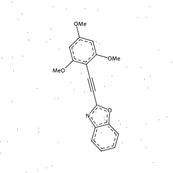 COc1cc(OC)c(C#Cc2nc3ccccc3o2)c(OC)c1